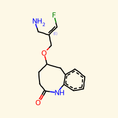 NC/C(=C\F)COC1CCC(=O)Nc2ccccc2C1